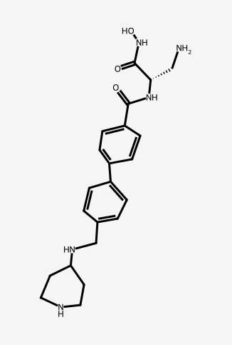 NC[C@H](NC(=O)c1ccc(-c2ccc(CNC3CCNCC3)cc2)cc1)C(=O)NO